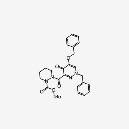 CC(C)(C)OC(=O)N1CCCCN1C(=O)c1nn(Cc2ccccc2)cc(OCc2ccccc2)c1=O